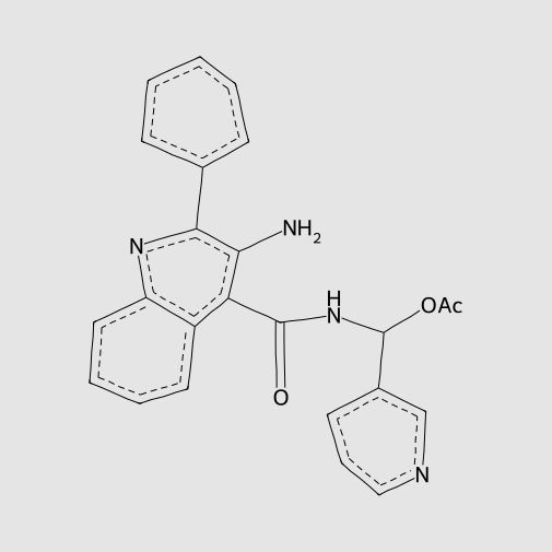 CC(=O)OC(NC(=O)c1c(N)c(-c2ccccc2)nc2ccccc12)c1cccnc1